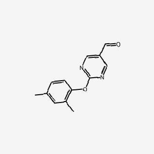 Cc1ccc(Oc2ncc(C=O)cn2)c(C)c1